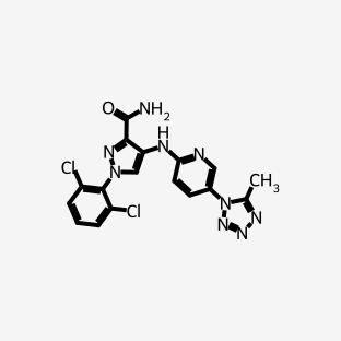 Cc1nnnn1-c1ccc(Nc2cn(-c3c(Cl)cccc3Cl)nc2C(N)=O)nc1